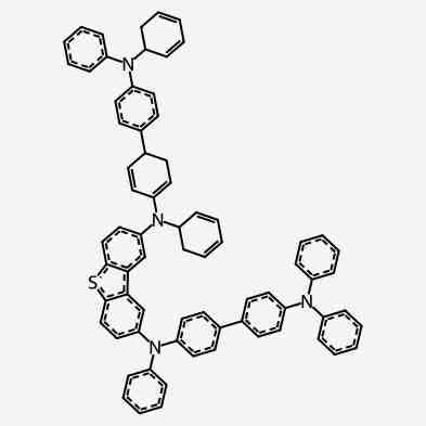 C1=CCC(N(C2=CCC(c3ccc(N(c4ccccc4)C4C=CC=CC4)cc3)C=C2)c2ccc3sc4ccc(N(c5ccccc5)c5ccc(-c6ccc(N(c7ccccc7)c7ccccc7)cc6)cc5)cc4c3c2)C=C1